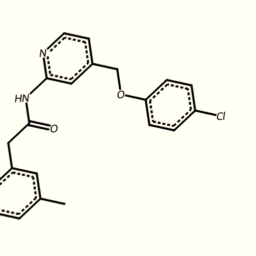 Cc1cccc(CC(=O)Nc2cc(COc3ccc(Cl)cc3)ccn2)c1